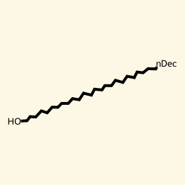 [CH2]CCCCCCCCCCCCCCCCCCCCCCCCCCCCCCCCCCO